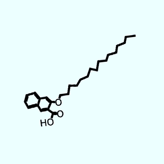 CCCCCCCCCCCCCCCCOc1cc2ccccc2cc1C(=O)O